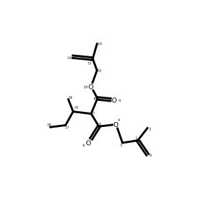 C=C(C)COC(=O)C(C(=O)OCC(=C)C)C(C)CC